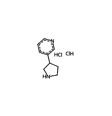 Cl.Cl.c1cncc(C2CCNC2)c1